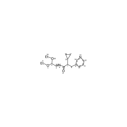 CCOC(CNC(=O)C(Cc1cccnc1)C1CC1)OCC